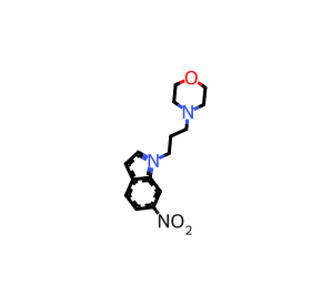 O=[N+]([O-])c1ccc2ccn(CCCN3CCOCC3)c2c1